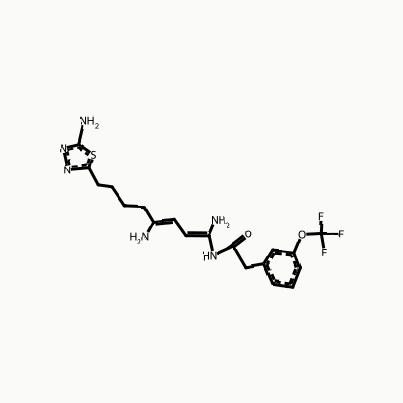 N/C(=C\C=C(/N)NC(=O)Cc1cccc(OC(F)(F)F)c1)CCCCc1nnc(N)s1